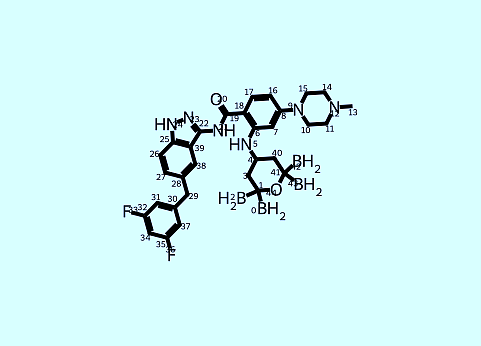 BC1(B)CC(Nc2cc(N3CCN(C)CC3)ccc2C(=O)Nc2n[nH]c3ccc(Cc4cc(F)cc(F)c4)cc23)CC(B)(B)O1